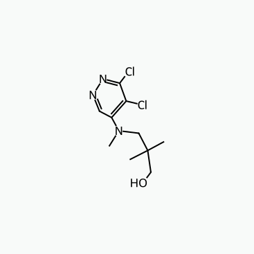 CN(CC(C)(C)CO)c1cnnc(Cl)c1Cl